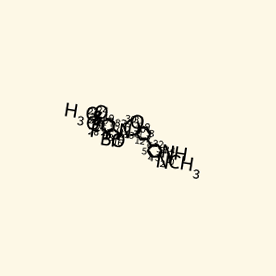 Cc1nc2ccc(-c3ccc4c(c3)CN(C(=O)c3ccc(S(C)(=O)=O)c(F)c3Br)CCO4)cc2[nH]1